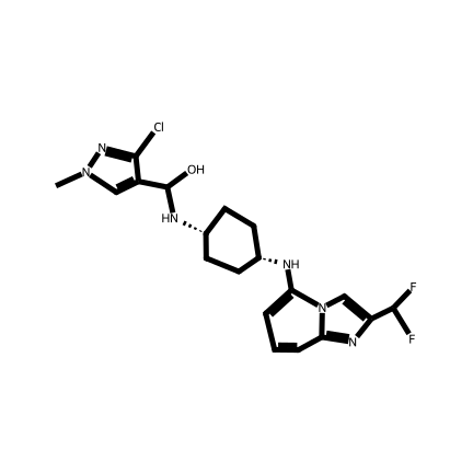 Cn1cc(C(O)N[C@H]2CC[C@@H](Nc3cccc4nc(C(F)F)cn34)CC2)c(Cl)n1